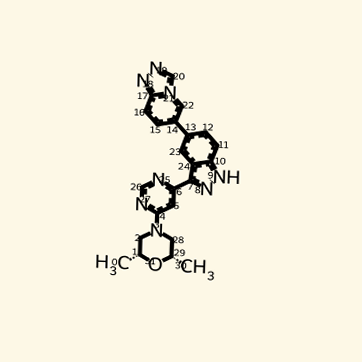 C[C@@H]1CN(c2cc(-c3n[nH]c4ccc(-c5ccc6nncn6c5)cc34)ncn2)C[C@H](C)O1